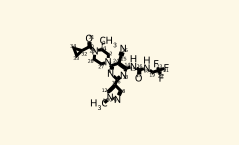 C[C@@H]1CN(c2nc(-c3cnn(C)c3)nc(NC(=O)NCC(F)(F)F)c2C#N)CCN1C(=O)C1CC1